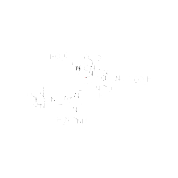 CN1C(=O)OC(N2CCN(CCC(=O)O)CC2)(C2(N3CCN(CCC(=O)O)CC3)COC(=O)[N+]2(C)CCCCN2CCN(C(=N)N)CC2)C1CCCCN1CCN(c2noc(=O)[nH]2)CC1